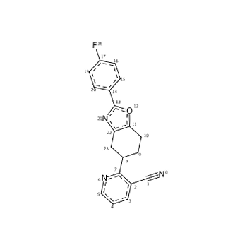 N#Cc1cccnc1C1CCc2oc(-c3ccc(F)cc3)nc2C1